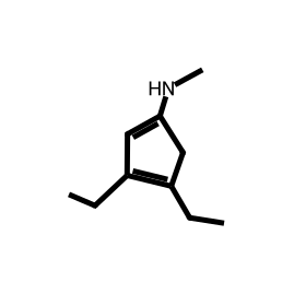 CCC1=C(CC)CC(NC)=C1